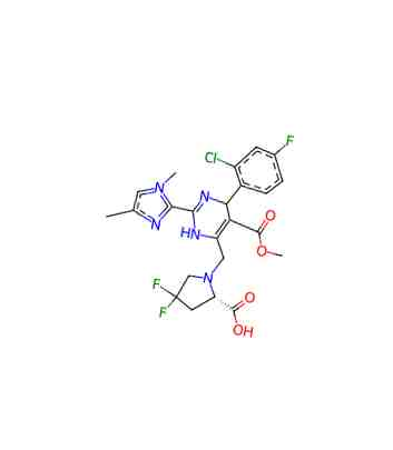 COC(=O)C1=C(CN2CC(F)(F)C[C@H]2C(=O)O)NC(c2nc(C)cn2C)=NC1c1ccc(F)cc1Cl